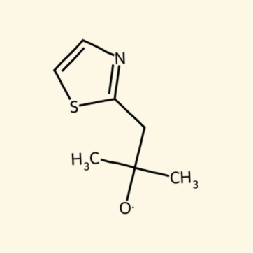 CC(C)([O])Cc1nccs1